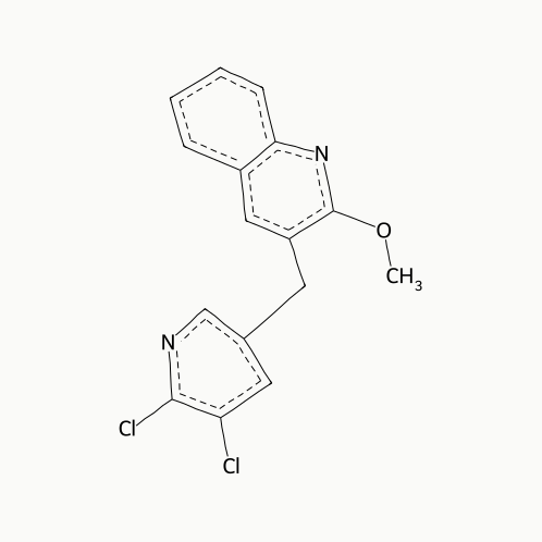 COc1nc2ccccc2cc1Cc1cnc(Cl)c(Cl)c1